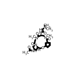 CC(=O)N[C@H]1C[C@H]2COc3cccc(c3)C(=O)N(C)C[C@H](NC(=O)CN(C)C)C(=O)N(C)CC(=O)N2C1